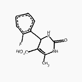 CC1=C(C(=O)O)C(c2ccccc2F)NC(=O)N1